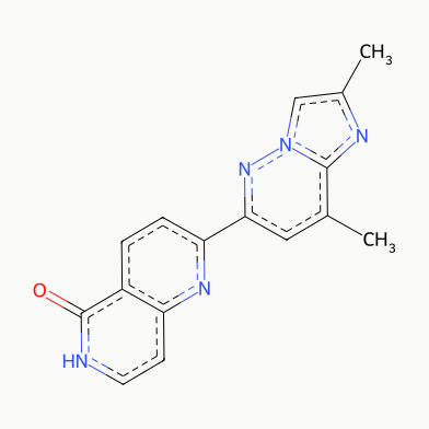 Cc1cn2nc(-c3ccc4c(=O)[nH]ccc4n3)cc(C)c2n1